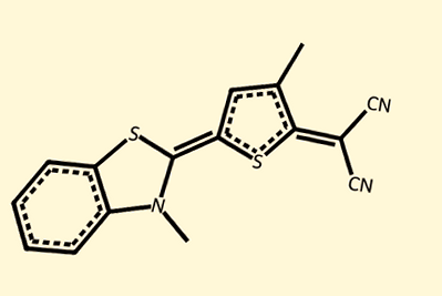 Cc1cc(=C2Sc3ccccc3N2C)sc1=C(C#N)C#N